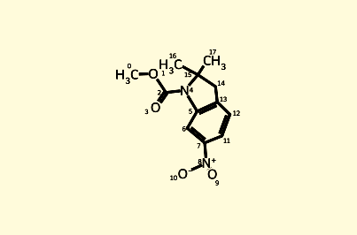 COC(=O)N1c2cc([N+](=O)[O-])ccc2CC1(C)C